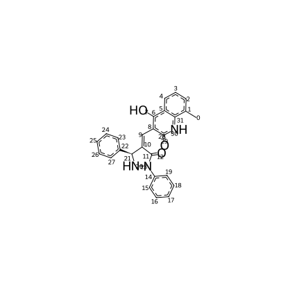 Cc1cccc2c(O)c(C=C3C(=O)N(c4ccccc4)N[C@H]3c3ccccc3)c(=O)[nH]c12